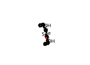 Oc1ccc2ccccc2c1C=Nc1ccc([Se][Se]c2ccc(N=Cc3c(O)ccc4ccccc34)cc2)cc1